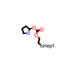 CCCCCCCCCOC(=O)OC1CCC[N]1